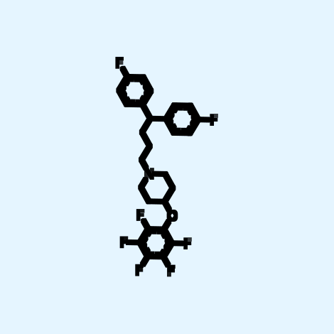 Fc1ccc(C(CCCN2CCC(Oc3c(F)c(F)c(F)c(F)c3F)CC2)c2ccc(F)cc2)cc1